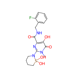 Cn1c(N2CCCCS2(O)O)nc(C(=O)NCc2ccccc2F)c(O)c1=O